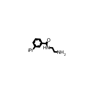 CC(C)c1cccc(C(=O)NCCN)c1